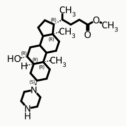 COC(=O)CCC(C)[C@H]1CCC2C3C[C@@H](O)[C@@H]4C[C@@H](N5CCNCC5)CC[C@]4(C)C3CC[C@@]21C